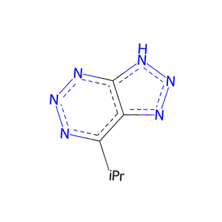 CC(C)c1nnnc2[nH]nnc12